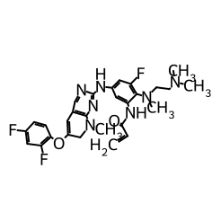 C=CC(=O)Nc1cc(Nc2ncc3c(n2)N(C)CC(Oc2ccc(F)cc2F)=C3)cc(F)c1N(C)CCN(C)C